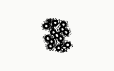 C[Si]1(C)c2ccccc2N(c2ccc3c(-c4cc5ccccc5c5ccccc45)c4cc(N5c6ccccc6[Si](C)(C)c6ccccc65)ccc4c(-c4cc5ccccc5c5ccccc45)c3c2)c2ccccc21